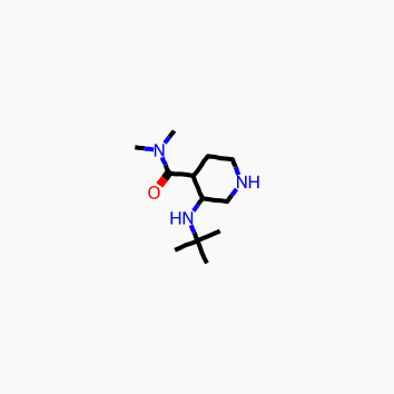 CN(C)C(=O)C1CCNCC1NC(C)(C)C